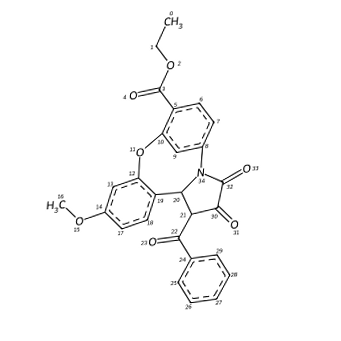 CCOC(=O)c1ccc2cc1Oc1cc(OC)ccc1C1C(C(=O)c3ccccc3)C(=O)C(=O)N21